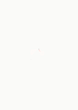 CCCCC(=O)O[Si](C)(C)CCCC